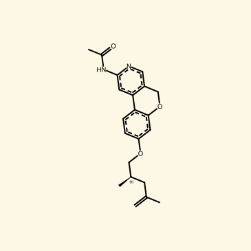 C=C(C)C[C@@H](C)COc1ccc2c(c1)OCc1cnc(NC(C)=O)cc1-2